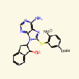 COc1ccc(OC)c(Sc2nc3c(N)ncnc3n2C2Cc3ccccc3C2O)c1